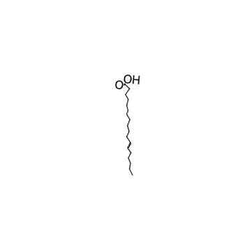 CCCCC/C=C/CCCCCCCCCCC(=O)O